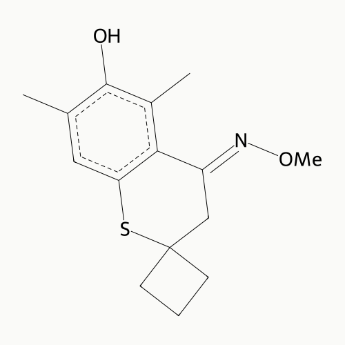 CON=C1CC2(CCC2)Sc2cc(C)c(O)c(C)c21